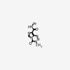 CC(C)NC(=O)c1ncn2c(=O)n(C)nnc12